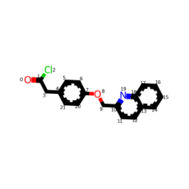 O=C(Cl)Cc1ccc(OCc2ccc3ccccc3n2)cc1